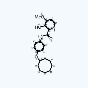 COc1ccnc(C(=O)Nc2ccc(OC3CCCCCCC3)cc2)c1O